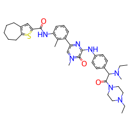 CCN1CCN(C(=O)C(c2ccc(Nc3nc(-c4cccc(NC(=O)c5cc6c(s5)CCCCC6)c4C)cn(C)c3=O)cc2)N(C)CC)CC1